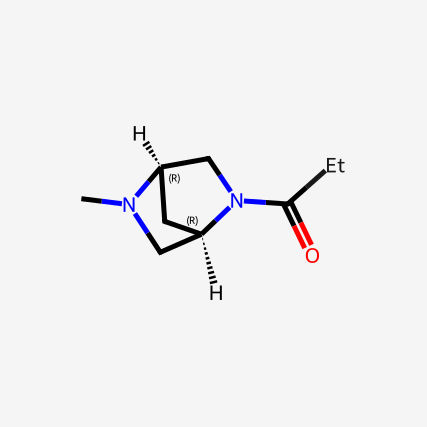 CCC(=O)N1C[C@H]2C[C@@H]1CN2C